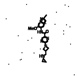 COc1cn2nc(C)cc2cc1NC(=O)c1cnc(N2CC(CNC3CC3)C2)cn1